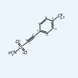 NS(=O)(=O)C#Cc1ccc(C(F)(F)F)cc1